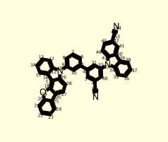 N#Cc1cc(-c2cccc(-n3c4ccccc4c4c5oc6ccccc6c5ccc43)c2)cc(-n2c3ccccc3c3cc(C#N)ccc32)c1